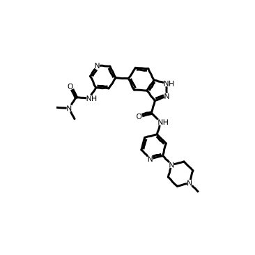 CN1CCN(c2cc(NC(=O)c3n[nH]c4ccc(-c5cncc(NC(=O)N(C)C)c5)cc34)ccn2)CC1